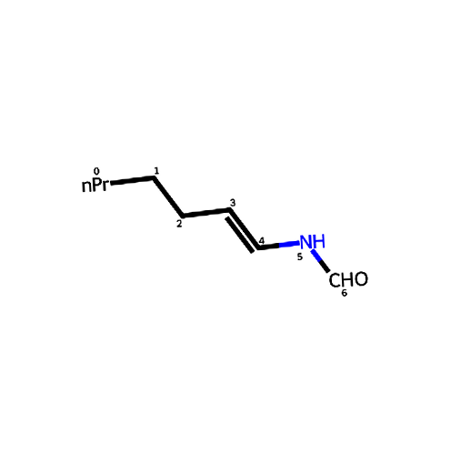 CCCCCC=CNC=O